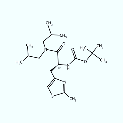 Cc1nc(C[C@H](NC(=O)OC(C)(C)C)C(=O)N(CC(C)C)CC(C)C)cs1